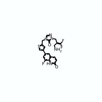 NCC(Cn1ncn(Cc2cc(-c3cc(F)c4[nH]c(=O)ccc4c3)cs2)c1=O)=C(F)F